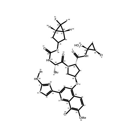 CC[C@@H]1C[C@]1(NC(=O)[C@@H]1C[C@@H](Oc2cc(-c3csc(NC(C)C)n3)nc3c(Cl)c(OC)ccc23)CN1C(=O)[C@@H](NC(=O)OC1C[C@@H]2[C@H](C1)C2(F)F)C(C)(C)C)C(=O)O